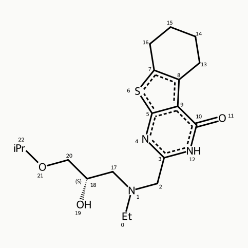 CCN(Cc1nc2sc3c(c2c(=O)[nH]1)CCCC3)C[C@H](O)COC(C)C